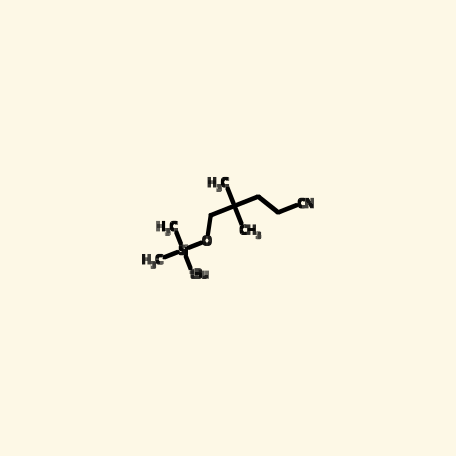 CC(C)(CCC#N)CO[Si](C)(C)C(C)(C)C